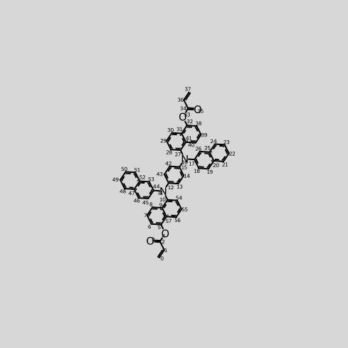 C=CC(=O)Oc1cccc2c(N(c3ccc(N(c4ccc5ccccc5c4)c4cccc5c(OC(=O)C=C)cccc45)cc3)c3ccc4ccccc4c3)cccc12